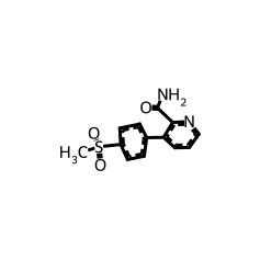 CS(=O)(=O)c1ccc(-c2cccnc2C(N)=O)cc1